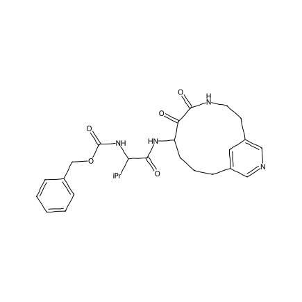 CC(C)C(NC(=O)OCc1ccccc1)C(=O)NC1CCCc2cncc(c2)CCNC(=O)C1=O